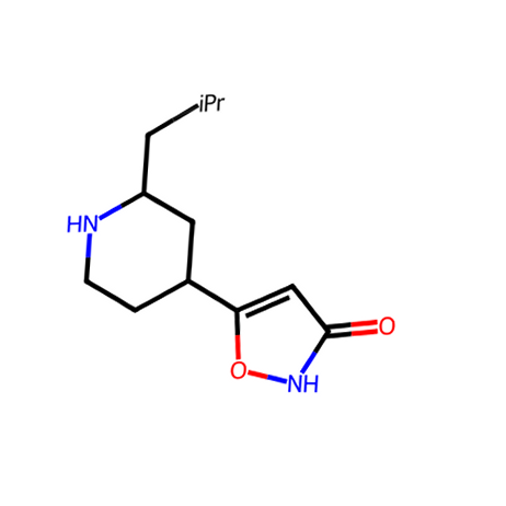 CC(C)CC1CC(c2cc(=O)[nH]o2)CCN1